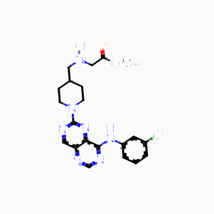 COC(=O)CN(C)CC1CCN(c2ncc3ncnc(Nc4cccc(Cl)c4)c3n2)CC1